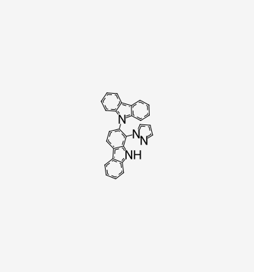 c1ccc2c(c1)[nH]c1c(-n3cccn3)c(-n3c4ccccc4c4ccccc43)ccc12